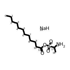 CCCCCCCCCCCC(=O)OS(=O)(=O)C(C)N.[NaH]